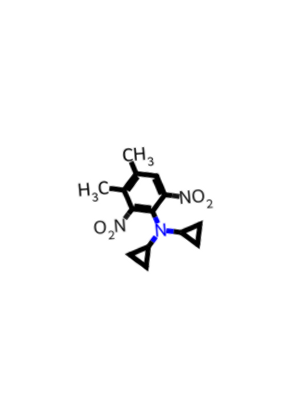 Cc1cc([N+](=O)[O-])c(N(C2CC2)C2CC2)c([N+](=O)[O-])c1C